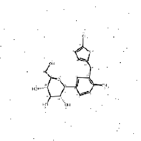 Cc1ccc(C2OC(CO)[C@@H](O)C(O)[C@H]2O)cc1Cc1ccc(Cl)s1